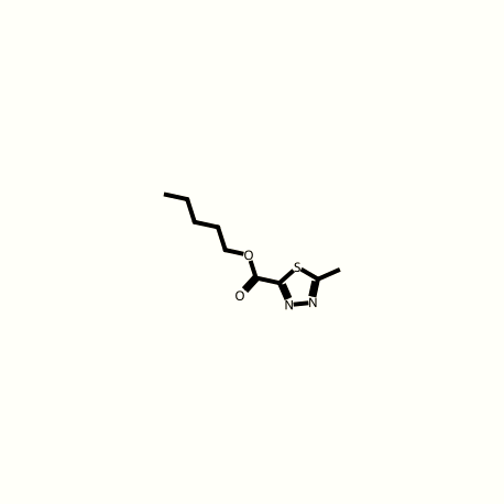 CCCCCOC(=O)c1nnc(C)s1